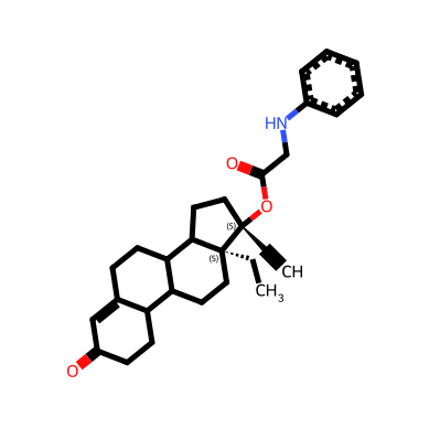 C#C[C@]1(OC(=O)CNc2ccccc2)CCC2C3CCC4=CC(=O)CCC4C3CC[C@@]21CC